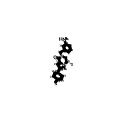 CNc1cccc(CN2C[C@H](C)n3nc(-c4ccc(C)cc4)cc3C2=O)c1